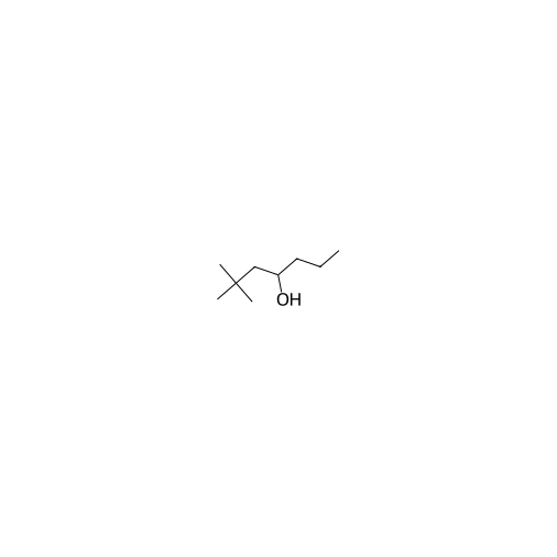 CCCC(O)CC(C)(C)C